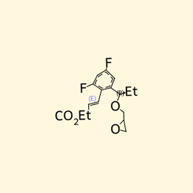 CCOC(=O)/C=C/c1c(F)cc(F)cc1[C@@H](CC)OCC1CO1